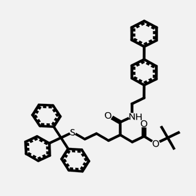 CC(C)(C)OC(=O)CC(CCCSC(c1ccccc1)(c1ccccc1)c1ccccc1)C(=O)NCCc1ccc(-c2ccccc2)cc1